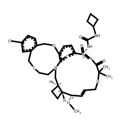 CO[C@H]1/C=C/COC(C)(C)C(=O)N=[S@@](=O)(NC(=O)NC2CCC2)c2ccc3c(c2)N(CCCCc2cc(Cl)ccc2CO3)C[C@@H]2CC[C@H]21